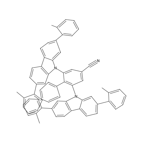 Cc1ccccc1-c1ccc2c3ccc(-c4ccccc4C)cc3n(-c3cc(C#N)cc(-n4c5cc(-c6ccccc6C)ccc5c5ccc(-c6ccccc6C)cc54)c3-c3ccccc3)c2c1